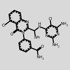 CCCC(Nc1nc(N)nc(N)c1Cl)c1nc2cccc(Cl)c2c(=O)n1-c1cccc(C(N)=O)c1